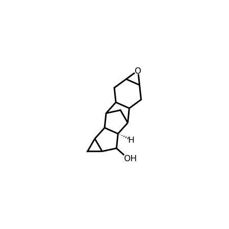 OC1C2CC2C2C3CC(C4CC5OC5CC43)[C@@H]12